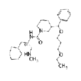 CCOCCCOC(c1ccccc1)C1CCCN(C(=O)N[C@H](CNC)CC2CCCCC2)C1